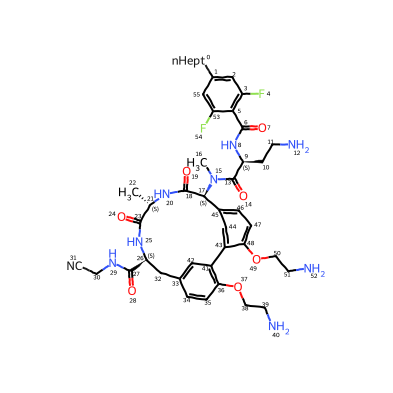 CCCCCCCc1cc(F)c(C(=O)N[C@@H](CCN)C(=O)N(C)[C@@H]2C(=O)N[C@@H](C)C(=O)N[C@H](C(=O)NCC#N)Cc3ccc(OCCN)c(c3)-c3cc2ccc3OCCN)c(F)c1